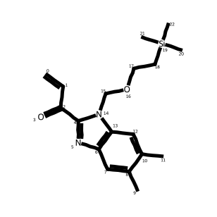 C=CC(=O)c1nc2cc(C)c(C)cc2n1COCC[Si](C)(C)C